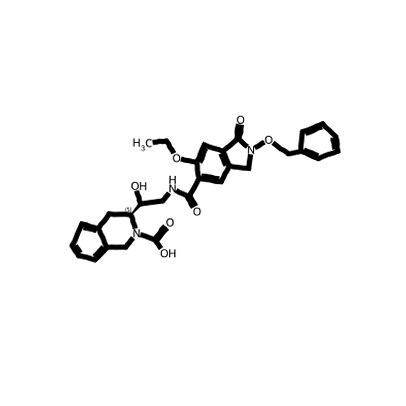 CCOc1cc2c(cc1C(=O)NCC(O)[C@@H]1Cc3ccccc3CN1C(=O)O)CN(OCc1ccccc1)C2=O